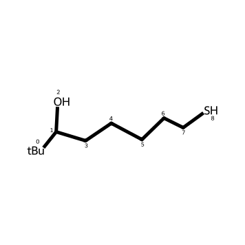 CC(C)(C)C(O)CCCCCS